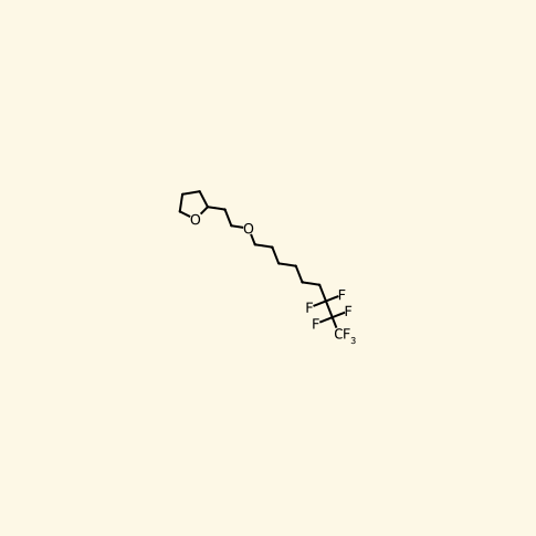 FC(F)(F)C(F)(F)C(F)(F)CCCCCCOCCC1CCCO1